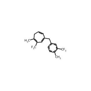 CC1=C(C(F)(F)F)C=C(Cc2ccc(C)c(C(F)(F)F)c2)C=CC1